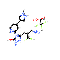 CCn1cc(-c2ccnc(-n3c(CC(CN)=C(F)F)n[nH]c3=O)c2)cn1.O=C(O)C(F)(F)F